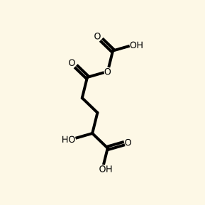 O=C(O)OC(=O)CCC(O)C(=O)O